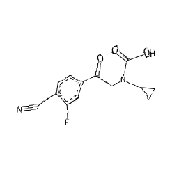 N#Cc1ccc(C(=O)CN(C(=O)O)C2CC2)cc1F